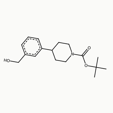 CC(C)(C)OC(=O)N1CCC(c2cccc(CO)c2)CC1